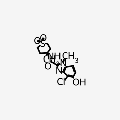 Cn1c(C(=O)NC2(C)CCS(=O)(=O)CC2)nc2c(Cl)c(O)ccc21